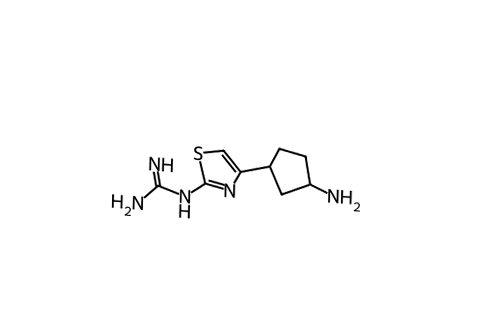 N=C(N)Nc1nc(C2CCC(N)C2)cs1